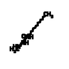 CCCCCCCCCCCCCCCNC(=O)CCNCCNC